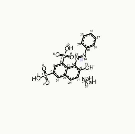 O=S(=O)(O)c1cc(S(=O)(=O)O)c2c(/N=N/c3ccccc3)c(O)ccc2c1.[NaH].[NaH]